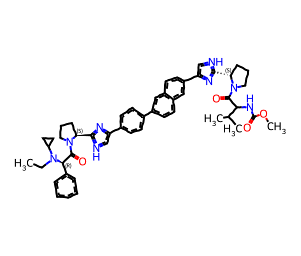 CCN(C1CC1)[C@@H](C(=O)N1CCC[C@H]1c1nc(-c2ccc(-c3ccc4cc(-c5c[nH]c([C@@H]6CCCN6C(=O)C(NC(=O)OC)C(C)C)n5)ccc4c3)cc2)c[nH]1)c1ccccc1